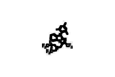 Cc1cc(C)c(-n2c3ccccc3n3c(CN(CC(F)(F)F)CC(F)(F)C(F)(F)F)c(C(F)(F)F)nc23)c(C)c1